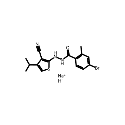 Cc1cc(Br)ccc1C(=O)NNc1scc(C(C)C)c1C#N.[H-].[Na+]